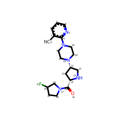 N#Cc1cccnc1N1CCN([C@@H]2CN[C@H](C(=O)N3CCC(F)C3)C2)CC1